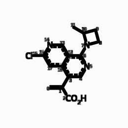 C=C(C(=O)O)c1cnc(N2CCC2C)c2cnc(Cl)cc12